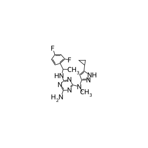 CC(Nc1nc(N)nc(N(C)c2cc(C3CC3)[nH]n2)n1)c1ccc(F)cc1F